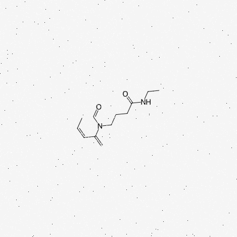 C=C(/C=C\C)N(C=O)CCCC(=O)NCC